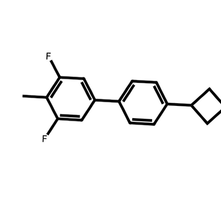 Cc1c(F)cc(-c2ccc(C3CCC3)cc2)cc1F